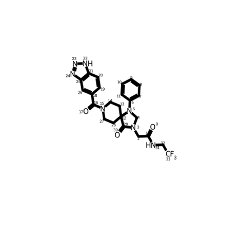 O=C(CN1CN(c2ccccc2)C2(CCN(C(=O)c3ccc4[nH]nnc4c3)CC2)C1=O)NCC(F)(F)F